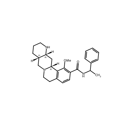 COc1c(C(=O)NC(C)c2ccccc2)ccc2c1[C@H]1C[C@H]3NCCC[C@H]3CN1CC2